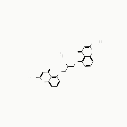 O=C(O)c1cc(=O)c2c(OCC(O)COc3cccc4oc(C(=O)O)cc(=O)c34)cccc2o1.[Na].[Na]